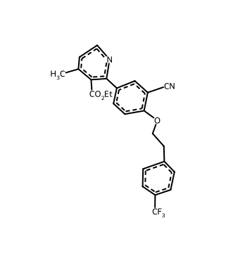 CCOC(=O)c1c(C)ccnc1-c1ccc(OCCc2ccc(C(F)(F)F)cc2)c(C#N)c1